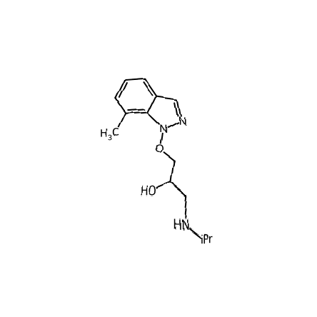 Cc1cccc2cnn(OCC(O)CNC(C)C)c12